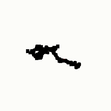 C=C1CC2CC[C@@]34C[C@H]5O[C@H]6[C@@H](O3)[C@H]3OC(CC[C@@H]3O[C@H]6[C@H]5O4)CC(=O)C[C@H]3[C@H](CC4OC(CCC1O2)C[C@@H](C)C4=C)OC(C[C@H](O)CNC(=O)OCc1ccc(N(CCOCCOCCOCCn2cc(COCCOCCOCCOCCNC(=O)CCN4C(=O)C=CC4=O)nn2)S(=O)(=O)c2ccc(C#N)cn2)cc1)[C@@H]3OC